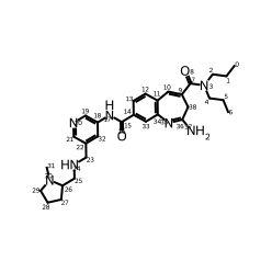 CCCN(CCC)C(=O)C1=Cc2ccc(C(=O)Nc3cncc(CNCC4CCCN4C)c3)cc2N=C(N)C1